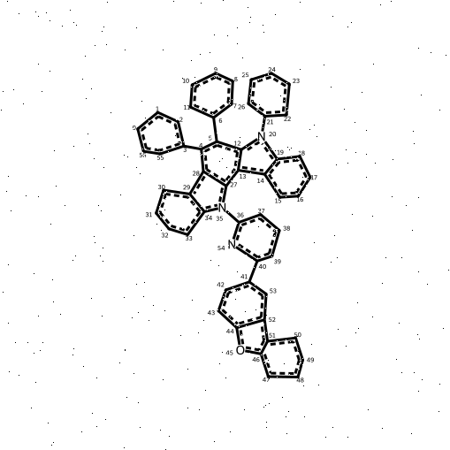 c1ccc(-c2c(-c3ccccc3)c3c(c4ccccc4n3-c3ccccc3)c3c2c2ccccc2n3-c2cccc(-c3ccc4oc5ccccc5c4c3)n2)cc1